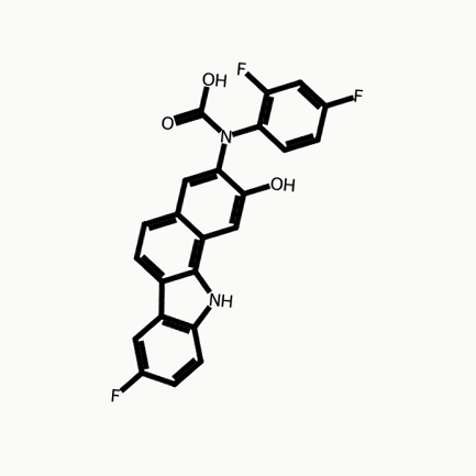 O=C(O)N(c1cc2ccc3c4cc(F)ccc4[nH]c3c2cc1O)c1ccc(F)cc1F